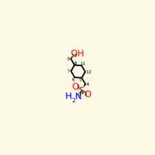 NS(=O)(=O)CC1CCC(CO)CC1